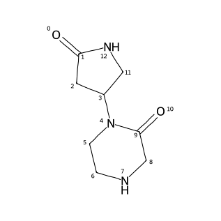 O=C1CC(N2CCNCC2=O)CN1